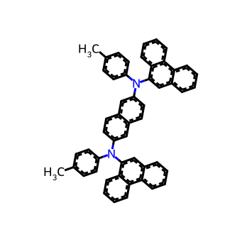 Cc1ccc(N(c2ccc3cc(N(c4ccc(C)cc4)c4cc5ccccc5c5ccccc45)ccc3c2)c2cc3ccccc3c3ccccc23)cc1